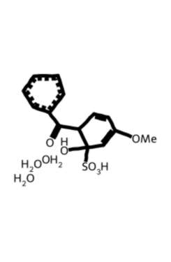 COC1=CC(O)(S(=O)(=O)O)C(C(=O)c2ccccc2)C=C1.O.O.O